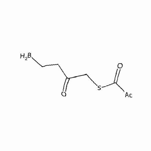 BCCC(=O)CSC(=O)C(C)=O